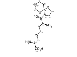 N[C@@H](CSSC[C@H](N)C(=O)N1CCCC12CCNCC2)C(=O)O